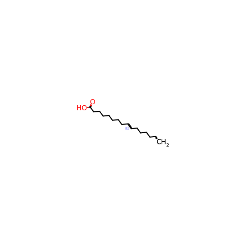 C=CCCCC/C=C/CCCCCCCC(=O)O